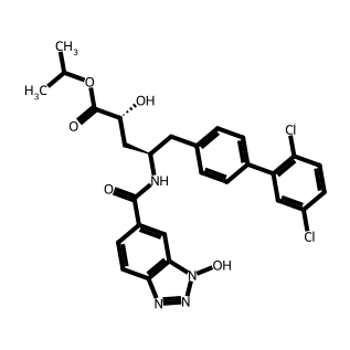 CC(C)OC(=O)[C@H](O)C[C@@H](Cc1ccc(-c2cc(Cl)ccc2Cl)cc1)NC(=O)c1ccc2nnn(O)c2c1